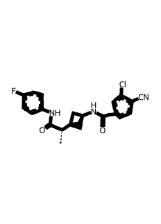 C[C@H](C(=O)Nc1ccc(F)cc1)C12CC(NC(=O)c3ccc(C#N)c(Cl)c3)(C1)C2